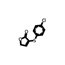 O=C1OCC=C1Sc1ccc(Cl)cc1